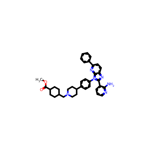 COC(=O)C1CCC(CN2CCC(c3ccc(-n4c(-c5cccnc5N)nc5ccc(-c6ccccc6)nc54)cc3)CC2)CC1